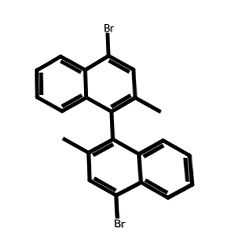 Cc1cc(Br)c2ccccc2c1-c1c(C)cc(Br)c2ccccc12